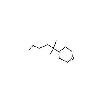 CCCCC(C)(C)N1CCOCC1